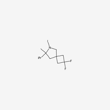 CC(C)C1(C)CC2(CN1I)CC(F)(F)C2